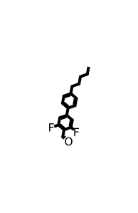 CCCCCc1ccc(-c2cc(F)c(C=O)c(F)c2)cc1